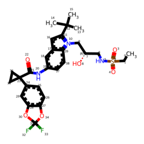 CCS(=O)(=O)NC[C@H](O)Cn1c(C(C)(C)C)cc2cc(NC(=O)C3(c4ccc5c(c4)OC(F)(F)O5)CC3)ccc21